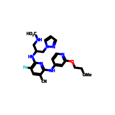 COCCOc1cc(Nc2nc(NC(CNC(=O)O)Cn3cccn3)c(F)cc2C#N)ccn1